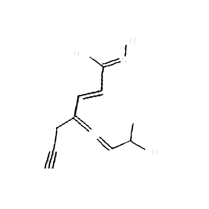 C#CCC(=C=CC(C)C)/C=C/C(C)=N/C